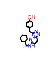 C[C@@H](Nc1ccc2nnc(Cc3ccc(O)cc3)n2n1)C1CCCCC1